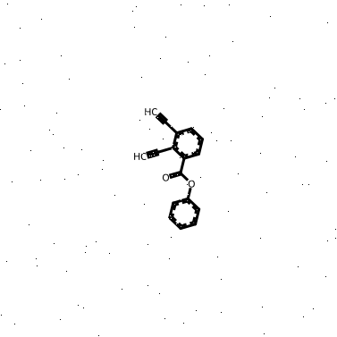 C#Cc1cccc(C(=O)Oc2ccccc2)c1C#C